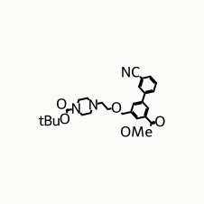 COC(=O)c1cc(COCCN2CCN(C(=O)OC(C)(C)C)CC2)cc(-c2cccc(C#N)c2)c1